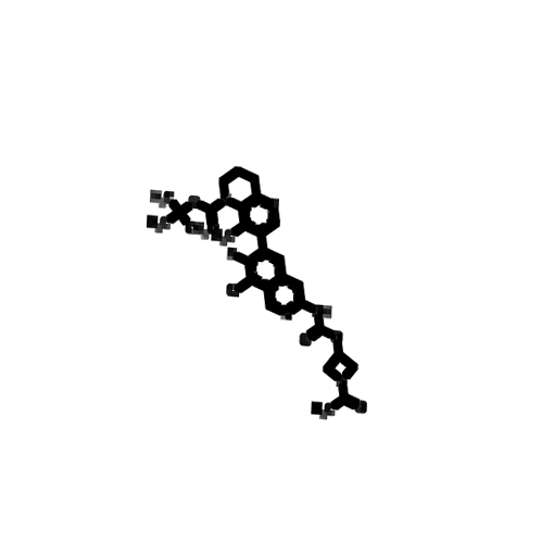 CC(=O)N1CC(OC(=O)Nc2cc3cc(-c4cnc5c(c4C)N(C(=O)OC(C)(C)C)CCC5)c(F)c(Cl)c3cn2)C1